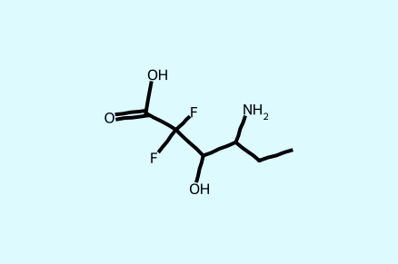 CCC(N)C(O)C(F)(F)C(=O)O